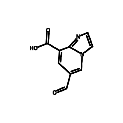 O=Cc1cc(C(=O)O)c2nccn2c1